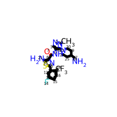 Cn1ncc(NC(=O)c2nc(-c3cc(F)ccc3C(F)(F)F)sc2N)c1N1CCC(CN)CC1